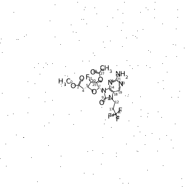 COC(=O)C[C@H]1O[C@@H](n2c(=O)n(CCC(F)(F)F)c3cnc(N)nc32)[C@H](OC(C)=O)[C@@H]1F